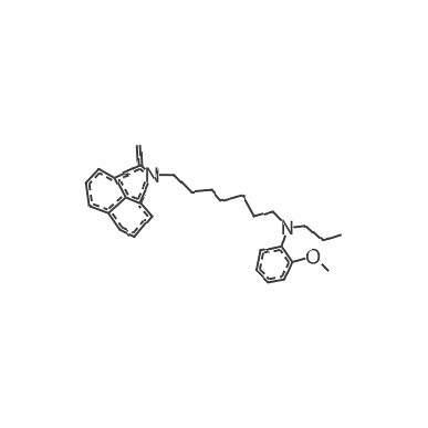 C=c1c2cccc3cccc(c32)n1CCCCCCCN(CCC)c1ccccc1OC